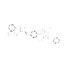 CC(C)CNC(C(=O)NCc1ccccc1)c1ccc(/C=C/C(=O)Nc2ccccc2N)cc1